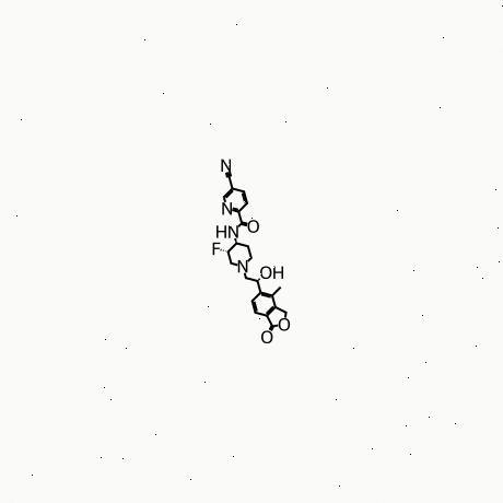 Cc1c([C@@H](O)CN2CC[C@H](NC(=O)c3ccc(C#N)cn3)[C@@H](F)C2)ccc2c1COC2=O